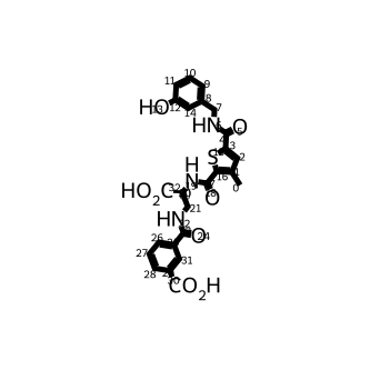 Cc1cc(C(=O)NCc2cccc(O)c2)sc1C(=O)N[C@@H](CNC(=O)c1cccc(C(=O)O)c1)C(=O)O